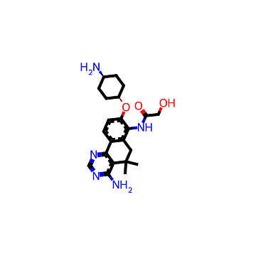 CC1(C)Cc2c(ccc(O[C@H]3CC[C@H](N)CC3)c2NC(=O)CO)-c2ncnc(N)c21